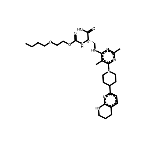 CCCCOCCOC(=O)N[C@@H](CNc1nc(C)nc(N2CCC(c3ccc4c(n3)NCCC4)CC2)c1C)C(=O)O